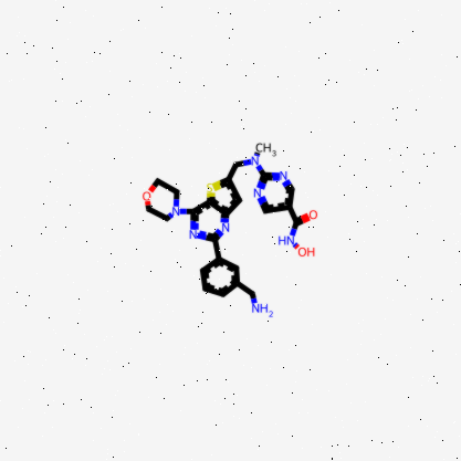 CN(Cc1cc2nc(-c3cccc(CN)c3)nc(N3CCOCC3)c2s1)c1ncc(C(=O)NO)cn1